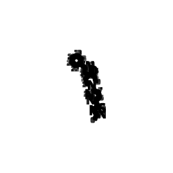 Cc1nsc(-c2ccc(N3CCC4(CC3)CC(c3ccccc3)=NO4)nn2)n1